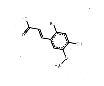 COc1cc(C=CC(=O)O)c(Br)cc1O